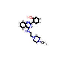 CN1CCN(CCNc2nc(-c3ccccc3O)nc3ccccc23)CC1